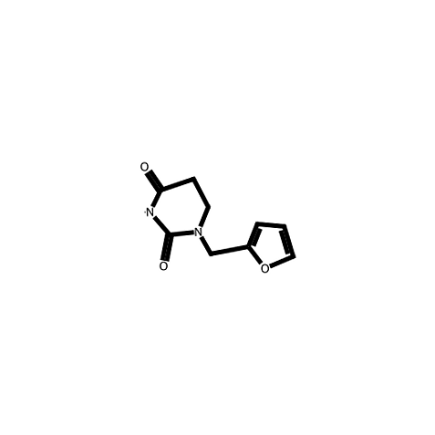 O=C1CCN(Cc2ccco2)C(=O)[N]1